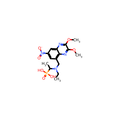 CCN(Cc1cc([N+](=O)[O-])cc2nc(OC)c(OC)nc12)C(C)P(=O)(O)O